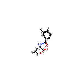 Cc1ccc(C(=O)N[C@H](CC(C)C)C(=O)O)cc1C